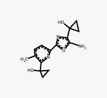 Cc1ccc(-c2nc(C3(O)CC3)c(N)o2)nc1C1(O)CC1